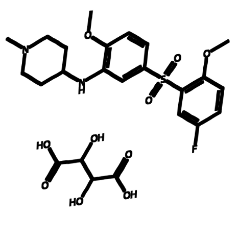 COc1ccc(S(=O)(=O)c2cc(F)ccc2OC)cc1NC1CCN(C)CC1.O=C(O)C(O)C(O)C(=O)O